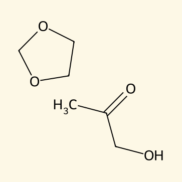 C1COCO1.CC(=O)CO